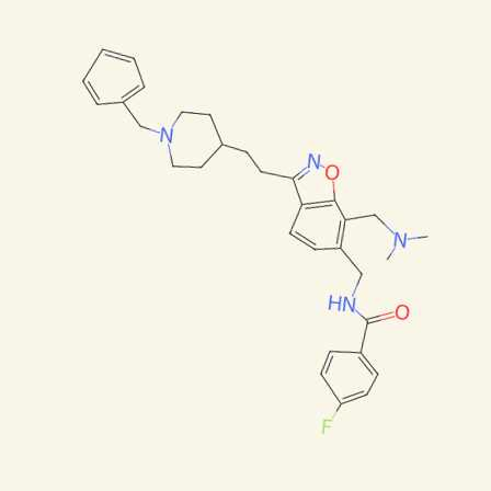 CN(C)Cc1c(CNC(=O)c2ccc(F)cc2)ccc2c(CCC3CCN(Cc4ccccc4)CC3)noc12